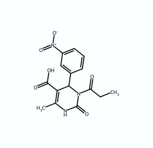 CCC(=O)N1C(=O)NC(C)=C(C(=O)O)C1c1cccc([N+](=O)[O-])c1